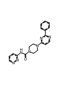 O=C(Nc1cccnn1)N1CCN(c2ccnc(-c3ccccc3)n2)CC1